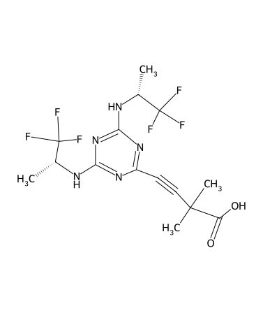 C[C@@H](Nc1nc(C#CC(C)(C)C(=O)O)nc(N[C@H](C)C(F)(F)F)n1)C(F)(F)F